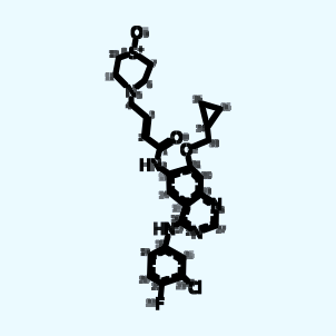 O=C(C=CCN1CC[S+]([O-])CC1)Nc1cc2c(Nc3ccc(F)c(Cl)c3)ncnc2cc1OCC1CC1